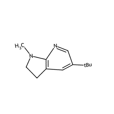 CN1CCc2cc(C(C)(C)C)cnc21